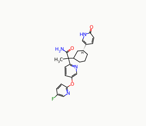 CC(C(N)=O)(c1ccc(Oc2ccc(F)cn2)cn1)C1CCC[C@@H](c2ccc(=O)[nH]c2)C1